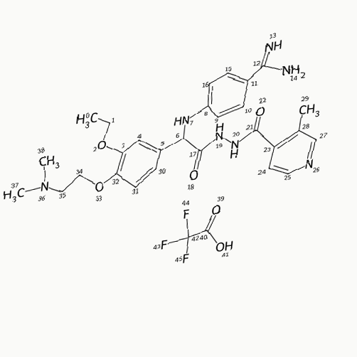 CCOc1cc(C(Nc2ccc(C(=N)N)cc2)C(=O)NNC(=O)c2ccncc2C)ccc1OCCN(C)C.O=C(O)C(F)(F)F